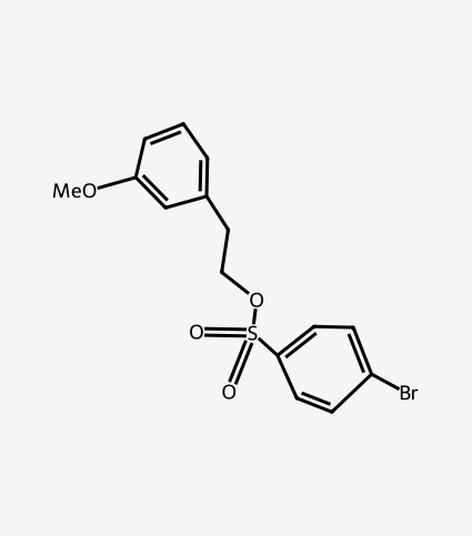 COc1cccc(CCOS(=O)(=O)c2ccc(Br)cc2)c1